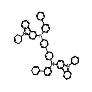 C1=CC(c2cccc(N(c3ccc(-c4ccc(N(c5cccc(-c6ccccc6)c5)c5ccc6c(c5)c5ccccc5n6C5CC=CCC5)cc4)cc3)c3ccc4c(c3)c3ccccc3n4-c3ccccc3)c2)=CCC1